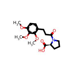 COc1ccc(CCC(=O)N2CCC[C@H]2C(=O)O)c(OC)c1OC